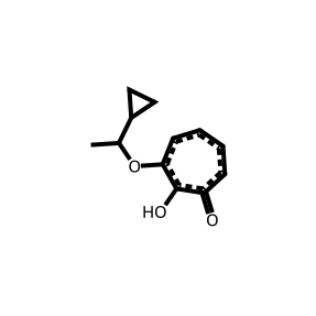 CC(Oc1ccccc(=O)c1O)C1CC1